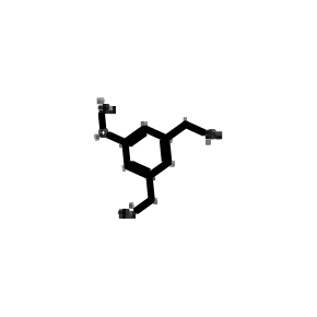 CC(C)(C)Cc1cc(CC(C)(C)C)cc(OC(C)(C)C)c1